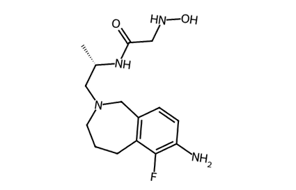 C[C@@H](CN1CCCc2c(ccc(N)c2F)C1)NC(=O)CNO